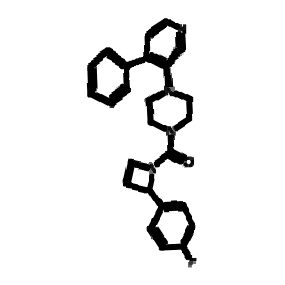 O=C(N1CCN(c2cnccc2-c2ccccc2)CC1)N1CCC1c1ccc(F)cc1